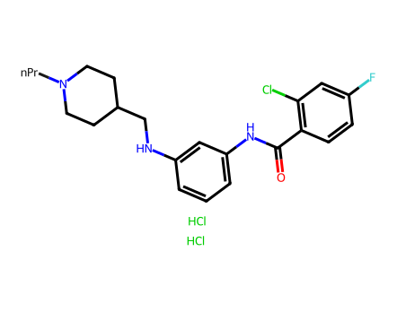 CCCN1CCC(CNc2cccc(NC(=O)c3ccc(F)cc3Cl)c2)CC1.Cl.Cl